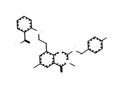 Cc1cc(CCNc2ccccc2C(=O)O)c2nc(NCc3ccc(Cl)cc3)n(C)c(=O)c2c1